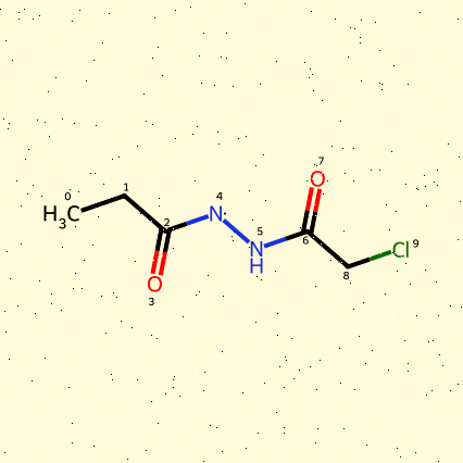 CCC(=O)[N]NC(=O)CCl